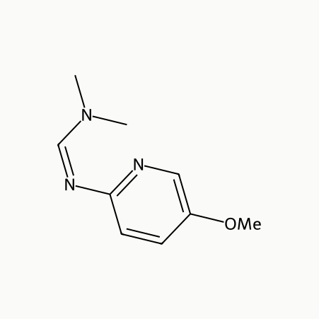 COc1ccc(/N=C\N(C)C)nc1